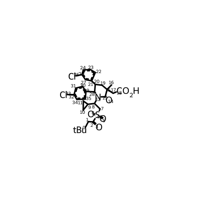 CC(C)(C)CC(=O)S(=O)(=O)CC(C1CC1)N1C(=O)C(C)(CC(=O)O)CC(c2cccc(Cl)c2)C1c1ccc(Cl)cc1